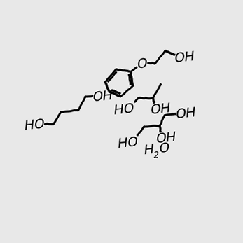 CC(O)CO.O.OCC(O)CO.OCCCCO.OCCOc1ccccc1